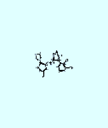 Fc1cnc(N2CCCC2)c(CNc2nnnn2-c2cccc(Cl)c2Cl)c1